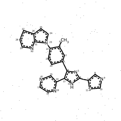 Cc1cc(-c2nc(-c3cncs3)[nH]c2-c2cnccn2)ccc1-n1ccc2cccnc21